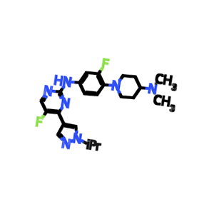 CC(C)n1cc(-c2nc(Nc3ccc(N4CCC(N(C)C)CC4)c(F)c3)ncc2F)cn1